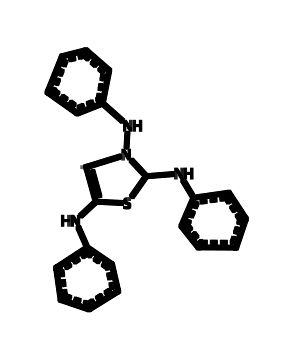 [C]1=C(Nc2ccccc2)SC(Nc2ccccc2)N1Nc1ccccc1